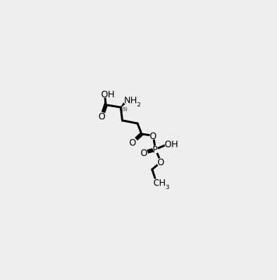 CCOP(=O)(O)OC(=O)CC[C@H](N)C(=O)O